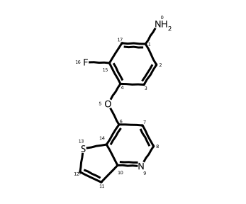 Nc1ccc(Oc2ccnc3c[c]sc23)c(F)c1